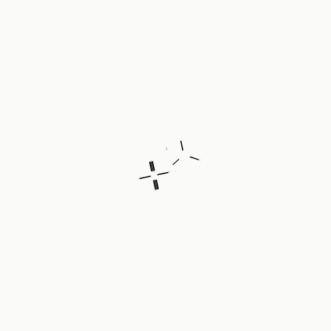 O=S(=O)(O)O.[F][Co]([F])[F].[LiH]